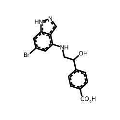 O=C(O)c1ccc(C(O)CNc2cc(Br)cc3[nH]ncc23)cc1